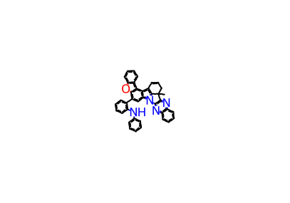 CC12CC=Cc3c1n(c1cc(-c4ccccc4Nc4ccccc4)c4oc5ccccc5c4c31)-c1nc3ccccc3nc12